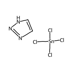 [Cl][Sn]([Cl])([Cl])[Cl].c1c[nH]nn1